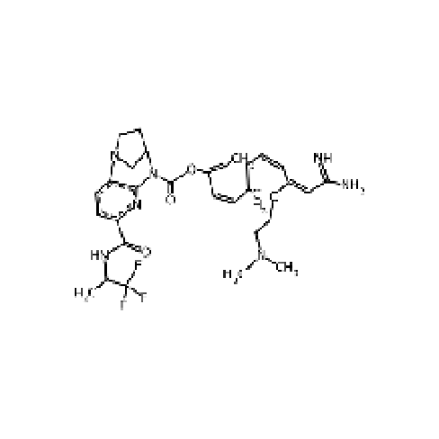 C/C=C(\C=C/C(C)C/C=C\C(=C/C(=N)N)OCCN(C)C)OC(=O)N1c2nc(C(=O)N[C@H](C)C(F)(F)F)ccc2N2CCC1C2